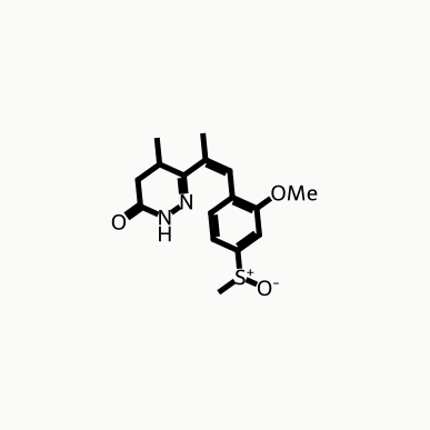 COc1cc([S+](C)[O-])ccc1C=C(C)C1=NNC(=O)CC1C